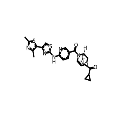 Cc1nc(C)c(-c2csc(Nc3ccc(C(=O)N4C=C5OC[C@H]4CN5C(=O)C4CC4)cn3)n2)s1